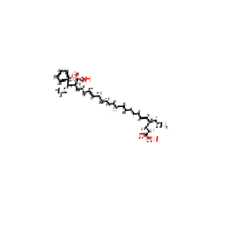 CCC(CCCCCCCCCCCCCCCCCCC(C(=O)O)C(C)c1ccccc1)CCC(=O)O